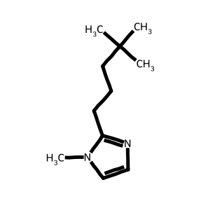 Cn1ccnc1CCCC(C)(C)C